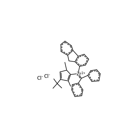 CC1=[C]([Zr+2](=[C](c2ccccc2)c2ccccc2)[c]2cccc3c2Cc2ccccc2-3)C(C)C=C1C(C)(C)C.[Cl-].[Cl-]